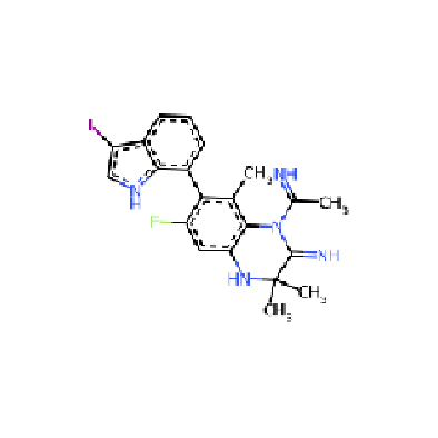 CC(=N)N1C(=N)C(C)(C)Nc2cc(F)c(-c3cccc4c(I)c[nH]c34)c(C)c21